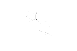 FC1(F)CN[C@H](c2nnn[nH]2)C1